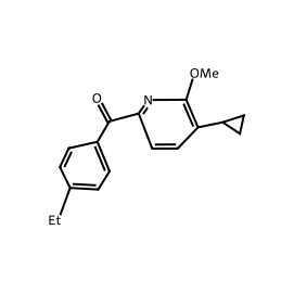 CCc1ccc(C(=O)c2ccc(C3CC3)c(OC)n2)cc1